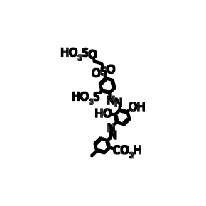 Cc1ccc(/N=N/c2ccc(O)c(/N=N/c3ccc(S(=O)(=O)CCOS(=O)(=O)O)cc3S(=O)(=O)O)c2O)c(C(=O)O)c1